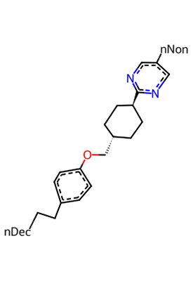 CCCCCCCCCCCCc1ccc(OC[C@H]2CC[C@H](c3ncc(CCCCCCCCC)cn3)CC2)cc1